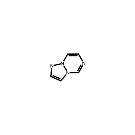 C1=CN2C=NC=CN2[N]1